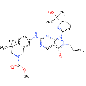 C=CCn1c(=O)c2cnc(Nc3ccc4c(c3)CN(C(=O)OC(C)(C)C)CC4(C)C)nc2n1-c1cccc(C(C)(C)O)n1